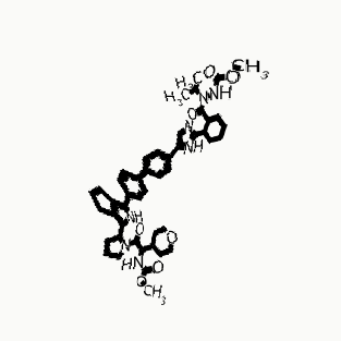 COC(=O)NC(C(=O)N1CCCC1c1[nH]c(-c2ccc(-c3ccc(-c4cnc(C5CCCCC5C(=O)N(NC(=O)OC)C(C)C)[nH]4)cc3)cc2)c2c1CCC2)C1CCOCC1